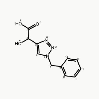 O=C(O)C(O)c1cn(Cc2ccccc2)nn1